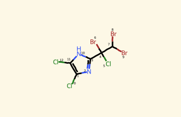 Clc1nc(C(Cl)(Br)C(Br)Br)[nH]c1Cl